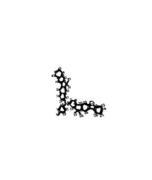 Cc1ccc(N(c2ccc3c(c2)C(C)(C)c2cc4c(cc2-3)oc2ccccc24)c2ccc3cc4c(cc3c2)C(C)(C)c2cc3ccccc3cc2-4)cc1